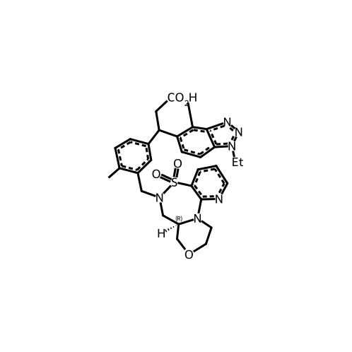 CCn1nnc2c(C)c(C(CC(=O)O)c3ccc(C)c(CN4C[C@@H]5COCCN5c5ncccc5S4(=O)=O)c3)ccc21